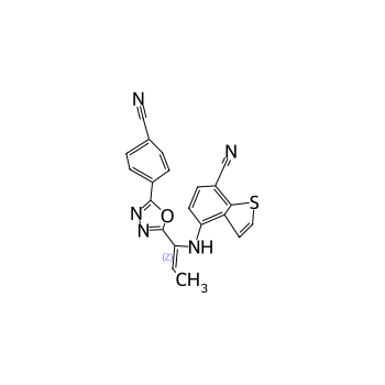 C/C=C(\Nc1ccc(C#N)c2sccc12)c1nnc(-c2ccc(C#N)cc2)o1